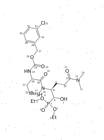 CCOP(=O)(OCC)C(O)[C@H](CCC(=O)N(C)C)N(S)C(=O)C(CC(C)(C)C)NC(=O)OCc1cccc(Cl)c1